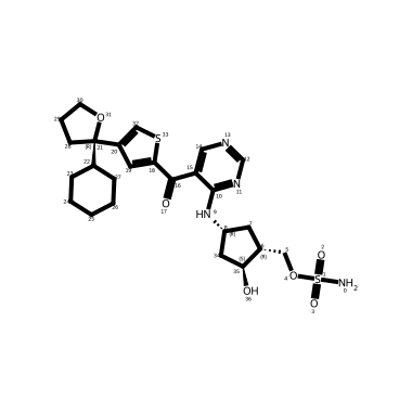 NS(=O)(=O)OC[C@H]1C[C@@H](Nc2ncncc2C(=O)c2cc([C@]3(C4CCCCC4)CCCO3)cs2)C[C@@H]1O